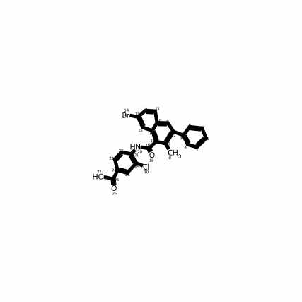 Cc1c(-c2ccccc2)cc2ccc(Br)cc2c1C(=O)Nc1ccc(C(=O)O)cc1Cl